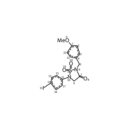 COc1ccc(CN2C(=O)CN(c3ccc(I)cc3)S2(=O)=O)cc1